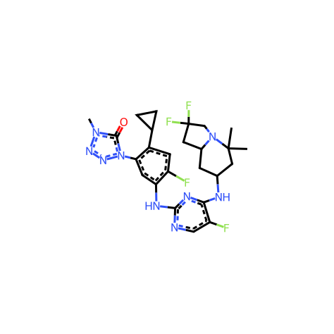 Cn1nnn(-c2cc(Nc3ncc(F)c(NC4CC5CC(F)(F)CN5C(C)(C)C4)n3)c(F)cc2C2CC2)c1=O